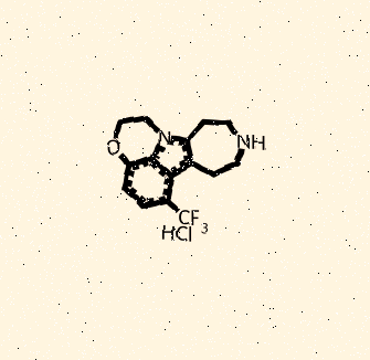 Cl.FC(F)(F)c1ccc2c3c1c1c(n3CCO2)CCNCC1